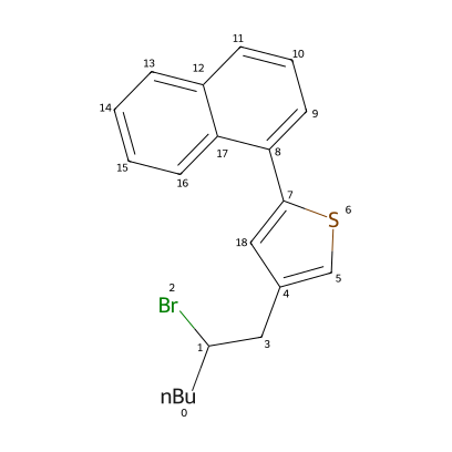 CCCCC(Br)Cc1csc(-c2cccc3ccccc23)c1